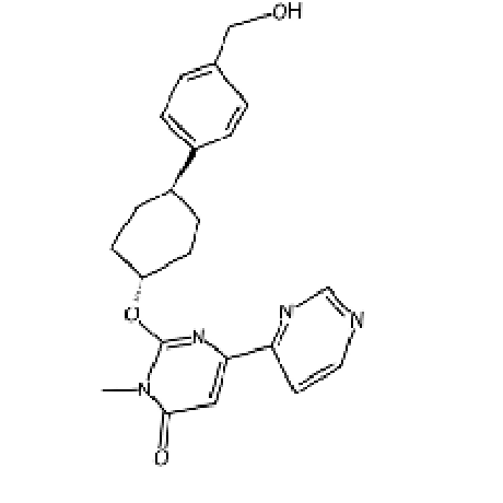 Cn1c(O[C@H]2CC[C@H](c3ccc(CO)cc3)CC2)nc(-c2ccncn2)cc1=O